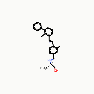 Cc1cc(CN[C@H](CO)C(=O)O)ccc1/C=C/c1cccc(-c2ccccc2)c1C